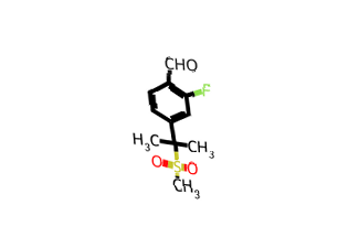 CC(C)(c1ccc(C=O)c(F)c1)S(C)(=O)=O